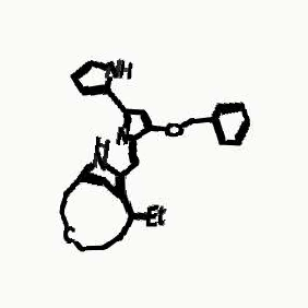 CCC1CCCCCCc2cc1c(/C=C1\N=C(c3ccc[nH]3)C=C1OCc1ccccc1)[nH]2